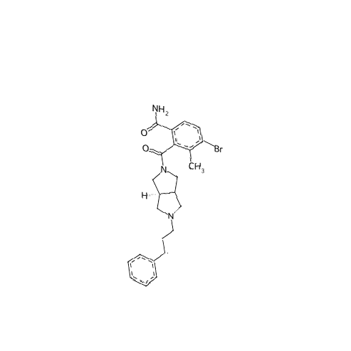 Cc1c(Br)ccc(C(N)=O)c1C(=O)N1CC2CN(CC[CH]c3ccccc3)C[C@H]2C1